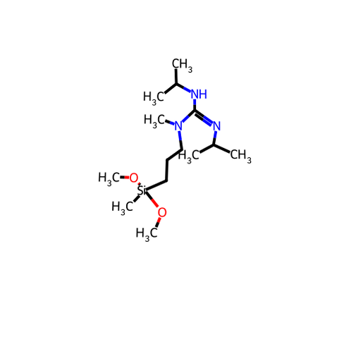 CO[Si](C)(CCCN(C)/C(=N\C(C)C)NC(C)C)OC